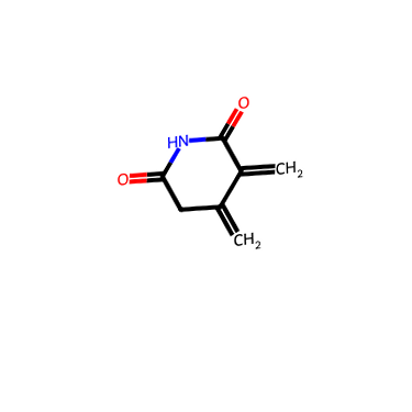 C=C1CC(=O)NC(=O)C1=C